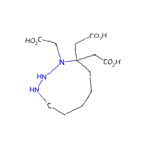 O=C(O)CN1NNCCCCCC1(CC(=O)O)CC(=O)O